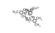 CC(=Nc1c(C)cc(C)cc1C)c1cccc(C(C)=Nc2c(C)cc(C)cc2C)n1.[Cl-].[Cl-].[Co+2]